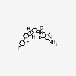 Cc1nc(N)cc(C2CC2)c1CNC(=O)c1ccc2c(c1)[C@@H]1O[C@H]2c2ccc(-c3ccc(F)cc3F)cc21